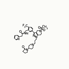 CS(=O)(=O)N1CCc2c(c(-c3ccc(C(F)(F)F)c(CNC(=O)Cc4ccccn4)c3)nn2CCCN2CCC(N3CCCC3=O)CC2)C1